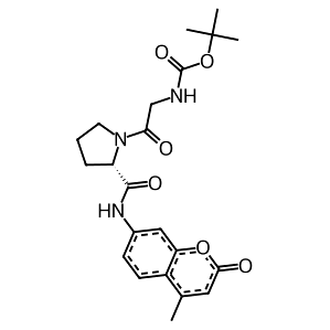 Cc1cc(=O)oc2cc(NC(=O)[C@@H]3CCCN3C(=O)CNC(=O)OC(C)(C)C)ccc12